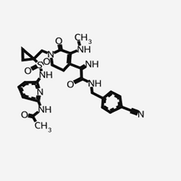 CNC1=C(C(=N)C(=O)NCc2ccc(C#N)cc2)CCN(CC2(S(=O)(=O)Nc3cccc(NC(C)=O)n3)CC2)C1=O